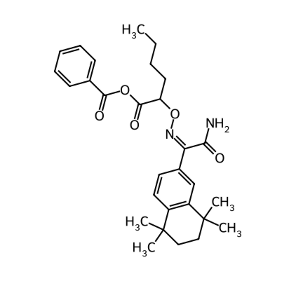 CCCCC(ON=C(C(N)=O)c1ccc2c(c1)C(C)(C)CCC2(C)C)C(=O)OC(=O)c1ccccc1